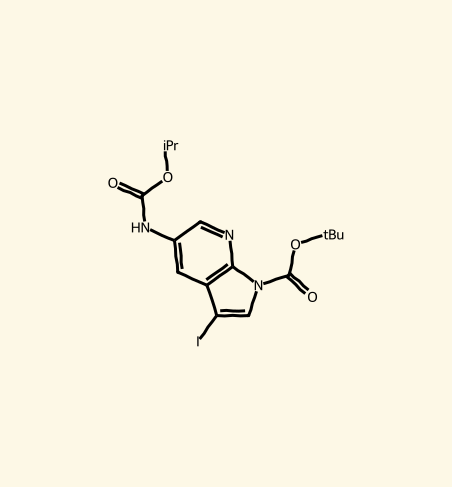 CC(C)OC(=O)Nc1cnc2c(c1)c(I)cn2C(=O)OC(C)(C)C